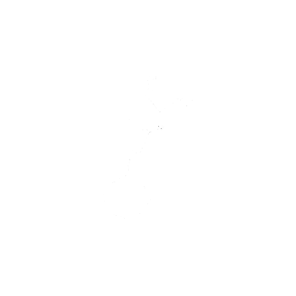 O=C(COC1CCCCCCC1)NC(CO)C(=O)O